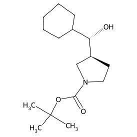 CC(C)(C)OC(=O)N1CC[C@H]([C@@H](O)C2CCCCC2)C1